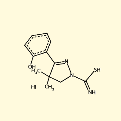 CC1(C)CN(C(=N)S)N=C1c1ccccc1O.I